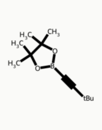 CC(C)(C)C#CB1OC(C)(C)C(C)(C)O1